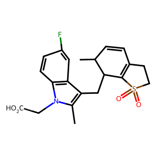 Cc1c(CC2C3=C(C=CC2C)CCS3(=O)=O)c2cc(F)ccc2n1CC(=O)O